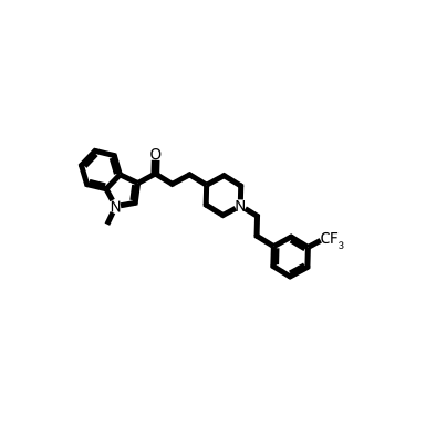 Cn1cc(C(=O)CCC2CCN(CCc3cccc(C(F)(F)F)c3)CC2)c2ccccc21